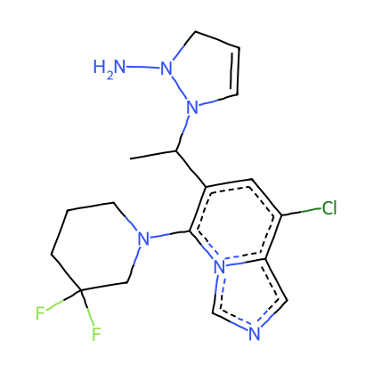 CC(c1cc(Cl)c2cncn2c1N1CCCC(F)(F)C1)N1C=CCN1N